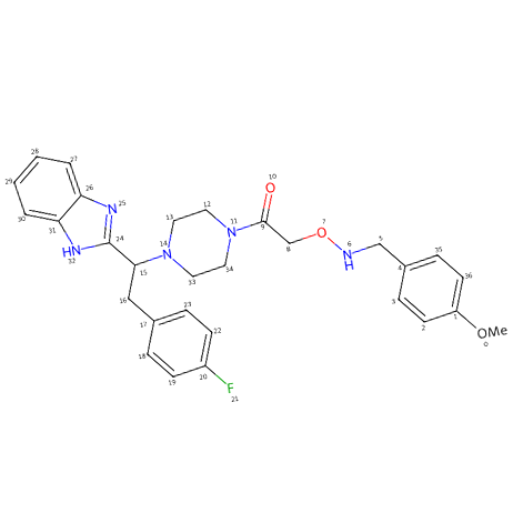 COc1ccc(CNOCC(=O)N2CCN(C(Cc3ccc(F)cc3)c3nc4ccccc4[nH]3)CC2)cc1